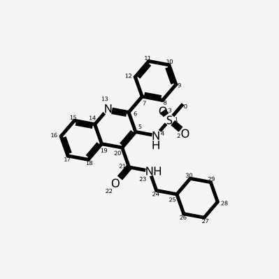 CS(=O)(=O)Nc1c(-c2ccccc2)nc2ccccc2c1C(=O)NCC1CCCCC1